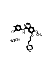 COc1cc2ncnc(Nc3ccc(F)c(Cl)c3)c2cc1OCCCN1CCOCC1.Cl.Cl